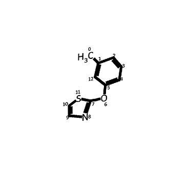 Cc1cccc(Oc2nccs2)c1